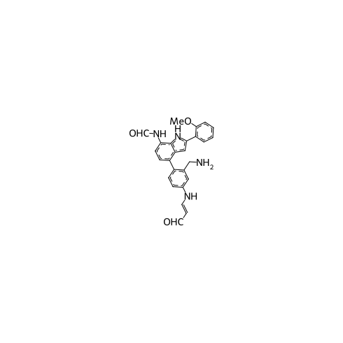 COc1ccccc1-c1cc2c(-c3ccc(NC=CC=O)cc3CN)ccc(NC=O)c2[nH]1